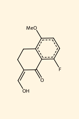 COc1ccc(F)c2c1CC/C(=C/O)C2=O